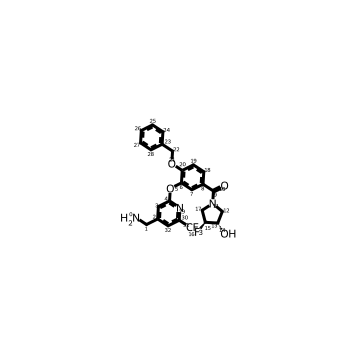 NCc1cc(Oc2cc(C(=O)N3C[C@H](O)[C@@H](F)C3)ccc2OCc2ccccc2)nc(C(F)(F)F)c1